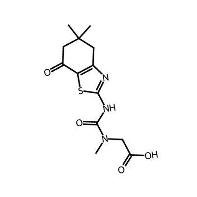 CN(CC(=O)O)C(=O)Nc1nc2c(s1)C(=O)CC(C)(C)C2